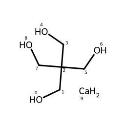 OCC(CO)(CO)CO.[CaH2]